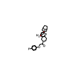 CCN1CC2CCC(C1)N2c1ccc2c(n1)CCN(C(=O)COc1ccc(F)cc1)C2